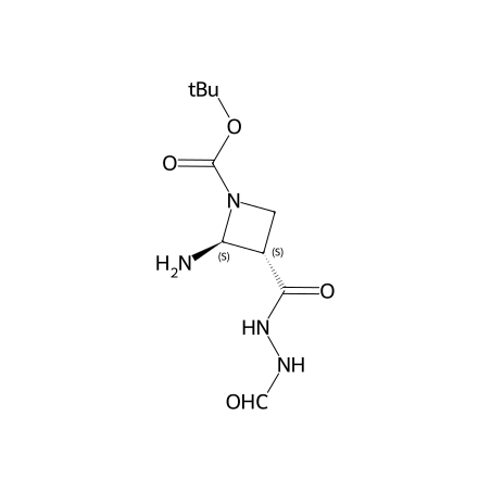 CC(C)(C)OC(=O)N1C[C@H](C(=O)NNC=O)[C@H]1N